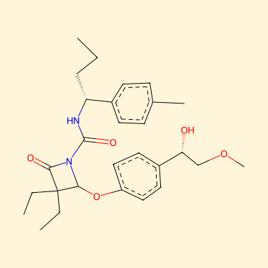 CCC[C@@H](NC(=O)N1C(=O)C(CC)(CC)C1Oc1ccc([C@H](O)COC)cc1)c1ccc(C)cc1